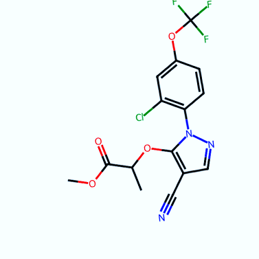 COC(=O)C(C)Oc1c(C#N)cnn1-c1ccc(OC(F)(F)F)cc1Cl